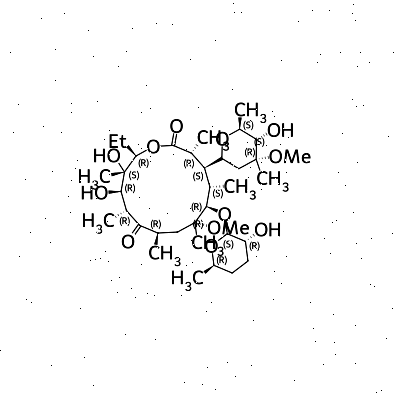 CC[C@H]1OC(=O)[C@H](C)[C@@H](C2C[C@@](C)(OC)[C@@H](O)[C@H](C)O2)[C@H](C)[C@@H](O[C@@H]2O[C@H](C)CC[C@H]2O)[C@](C)(OC)C[C@@H](C)C(=O)[C@H](C)[C@@H](O)[C@]1(C)O